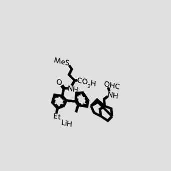 CCc1ccc(C(=O)NC(CCSC)C(=O)O)c(-c2ccccc2C)c1.O=CNCC12CC3CC(CC(C3)C1)C2.[LiH]